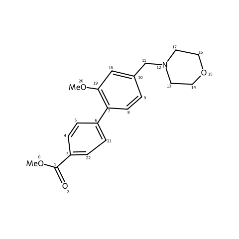 COC(=O)c1ccc(-c2ccc(CN3CCOCC3)cc2OC)cc1